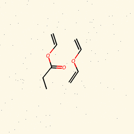 C=COC(=O)CC.C=COC=C